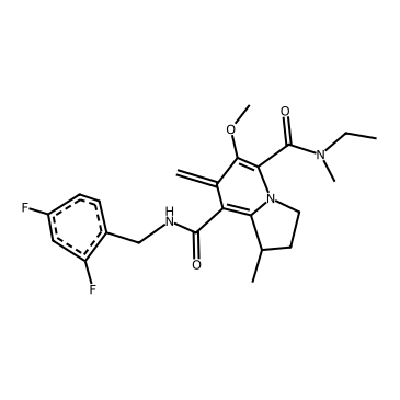 C=C1C(OC)=C(C(=O)N(C)CC)N2CCC(C)C2=C1C(=O)NCc1ccc(F)cc1F